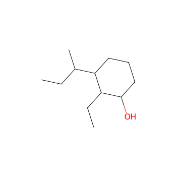 CCC(C)C1CCCC(O)C1CC